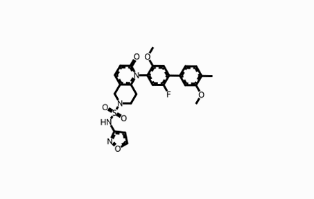 COc1cc(-c2cc(OC)c(-n3c4c(ccc3=O)CN(S(=O)(=O)Nc3ccon3)CC4)cc2F)ccc1C